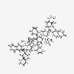 CC1(C)c2cc(N(c3ccc4ccccc4c3)c3ccc4ccccc4c3)ccc2-c2c1cc1c(-c3ccccc3)c3c(cc1c2-c1ccccc1)C(C)(C)c1cc(N(c2ccc4ccccc4c2)c2ccc4ccccc4c2)ccc1-3